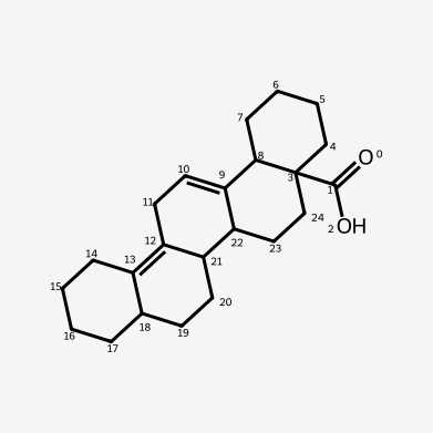 O=C(O)C12CCCCC1C1=CCC3=C4CCCCC4CCC3C1CC2